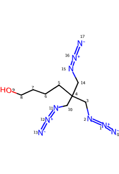 [N-]=[N+]=NCC(CCCCO)(CN=[N+]=[N-])CN=[N+]=[N-]